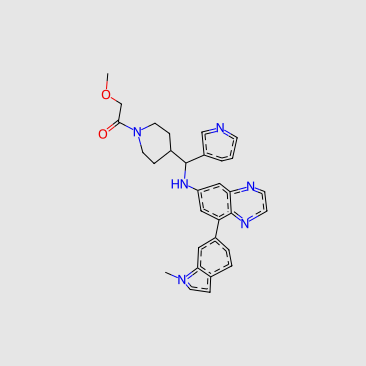 COCC(=O)N1CCC(C(Nc2cc(-c3ccc4ccn(C)c4c3)c3nccnc3c2)c2cccnc2)CC1